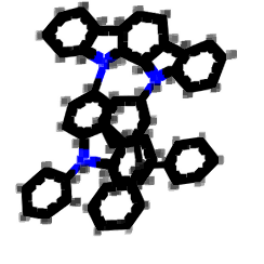 c1ccc(B(c2ccccc2)c2cccc(-n3c4ccccc4c4ccc5c6ccccc6n(-c6ccc7c(c6)c6ccccc6n7-c6ccccc6)c5c43)c2)cc1